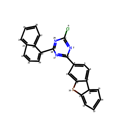 Clc1nc(-c2ccc3c(c2)sc2ccccc23)nc(-c2cccc3ccccc23)n1